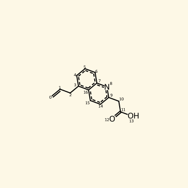 C=CCc1cccc2nc(CC(=O)O)ccc12